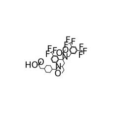 CCC1CC(N(Cc2cc(C(F)(F)F)cc(C(F)(F)F)c2)C(=O)OC)c2cc(C(F)(F)F)ccc2N1C(=O)C1CCC(CC(=O)O)CC1